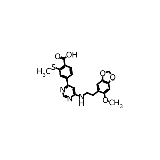 COc1cc2c(cc1CCNc1cc(-c3ccc(C(=O)O)c(SC)c3)ncn1)OCO2